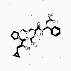 N#CC(=CC1CC1)C(=O)N1CCC[C@@H]1COC[C@H](NCC(F)(F)F)C(=O)N[C@H](CB(O)O)c1ccccc1